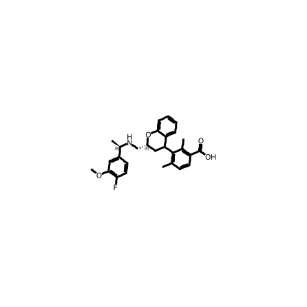 COc1cc([C@@H](C)NC[C@H]2CC(c3c(C)ccc(C(=O)O)c3C)c3ccccc3O2)ccc1F